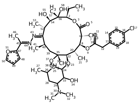 CC[C@H]1OC(=O)[C@H](C)[C@@H](OC(=O)Cc2ccc(Cl)cc2)[C@H](C)[C@@H](OC2OC(C)CC(N(C)C)C2O)[C@](C)(OC)C[C@@H](C)/C(=N\N=C(/C)c2ccco2)[C@H](C)[C@@H](O)[C@]1(C)O